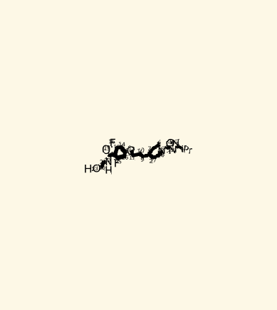 CC(C)c1noc(N2CCC(CCCOc3cc(F)c(C(=O)NCCO)c(F)c3)CC2)n1